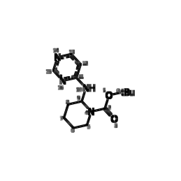 CC(C)(C)OC(=O)N1CCCCC1Nc1ccncn1